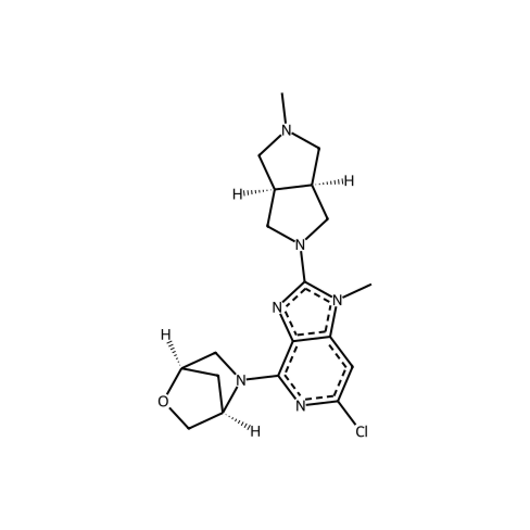 CN1C[C@@H]2CN(c3nc4c(N5C[C@H]6C[C@@H]5CO6)nc(Cl)cc4n3C)C[C@@H]2C1